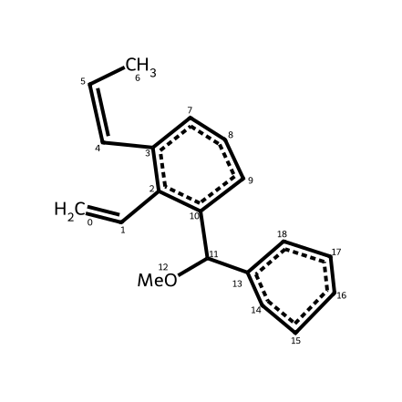 C=Cc1c(/C=C\C)cccc1C(OC)c1ccccc1